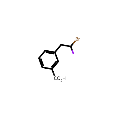 O=C(O)c1cccc(CC(Br)I)c1